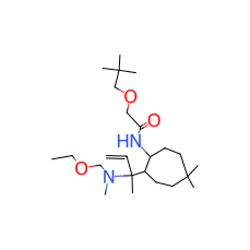 C=CC(C)(C1CCC(C)(C)CCC1NC(=O)COCC(C)(C)C)N(C)COCC